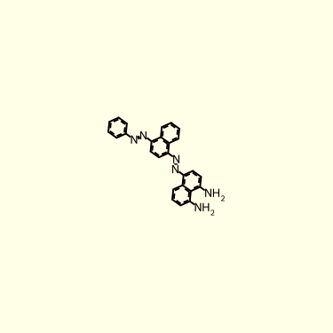 Nc1cccc2c(N=Nc3ccc(N=Nc4ccccc4)c4ccccc34)ccc(N)c12